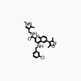 Cc1nn(C)cc1CNC(=O)c1cc(NCc2cccc(Cl)c2)c2cc(-c3c(C)noc3C)ccc2n1